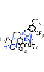 Cc1cc2c(cc1C(F)(F)F)N(C(C)c1ncc[nH]1)CCCC2N(Cc1cc(C(F)(F)F)cc(C(F)(F)F)c1)c1nnn(C)n1